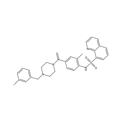 C=C(c1ccc(NS(=O)(=O)c2cccc3cccnc23)c(C)c1)N1CCN(Cc2cccc(C)c2)CC1